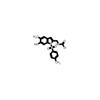 CCC(=O)NCc1cc2cc(C)c(O)cc2n1S(=O)(=O)c1ccc(C)cc1